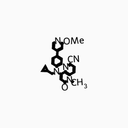 COc1cc(-c2ccc(N(CC3CC3)c3cc(=O)n(C)c4ccc(C#N)nc34)cc2)ccn1